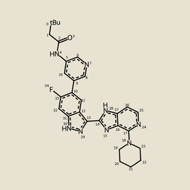 CC(C)(C)CC(=O)Nc1cncc(-c2cc3c(-c4nc5c(N6CCCCC6)nccc5[nH]4)n[nH]c3cc2F)c1